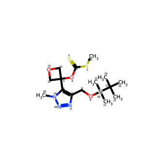 CSC(=S)OC1(c2c(CO[Si](C)(C)C(C)(C)C)nnn2C)COC1